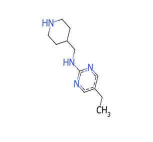 CCc1cnc(NCC2CCNCC2)nc1